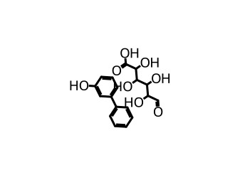 O=CC(O)C(O)C(O)C(O)C(=O)O.Oc1cccc(-c2ccccc2)c1